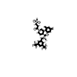 Cc1cc(F)ccc1[C@@H]1CN(C(=O)CCS(C)(=O)=O)CC[C@H]1C(=O)N(C)Cc1cc(C(F)(F)F)cc(C(F)(F)F)c1